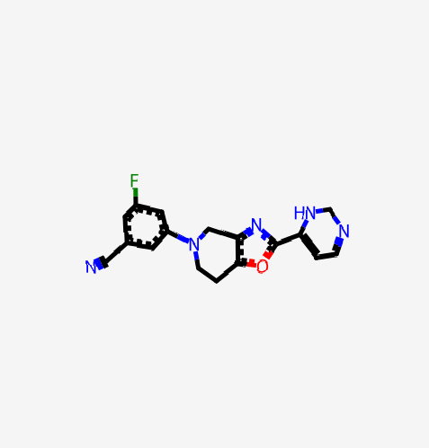 N#Cc1cc(F)cc(N2CCc3oc(C4=CC=NCN4)nc3C2)c1